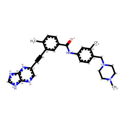 Cc1ccc(C(=O)Nc2ccc(CN3CCN(C)CC3)c(C(F)(F)F)c2)cc1C#Cc1cnc2[nH]cnc2n1